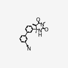 C=C1C(=O)N(C)C(=O)N[C@]1(C)c1cccc(-c2cccc(C#N)c2)c1